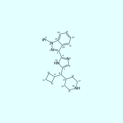 CC(C)n1nc(-c2ncc(C(C3CCC3)C3CCNCC3)[nH]2)c2ccccc21